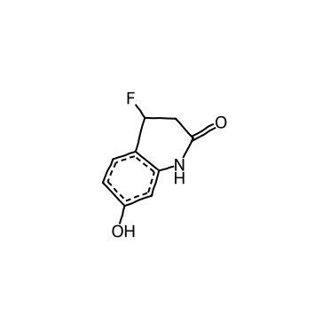 O=C1CC(F)c2ccc(O)cc2N1